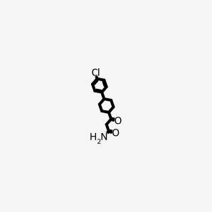 NC(=O)CC(=O)C1CCC(c2ccc(Cl)cc2)CC1